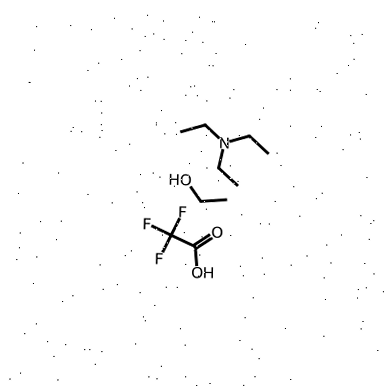 CCN(CC)CC.CCO.O=C(O)C(F)(F)F